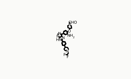 Nc1cc(-c2ncnc3[nH]c(-c4ccc(C5CCN(CC(F)F)CC5)cc4)nc23)ccc1OC1CCN(C=O)CC1